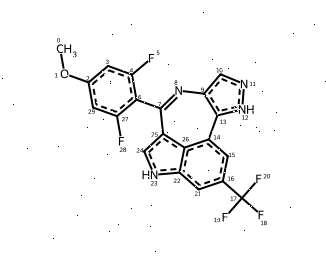 COc1cc(F)c(C2=Nc3cn[nH]c3-c3cc(C(F)(F)F)cc4[nH]cc2c34)c(F)c1